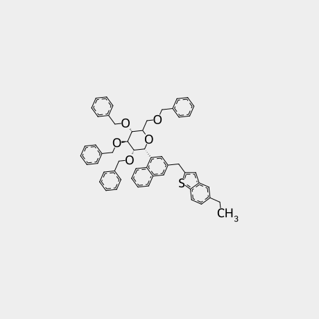 CCc1ccc2sc(Cc3cc([C@H]4OC(COCc5ccccc5)[C@@H](OCc5ccccc5)[C@H](OCc5ccccc5)[C@H]4OCc4ccccc4)c4ccccc4c3)cc2c1